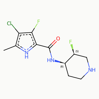 Cc1[nH]c(C(=O)N[C@@H]2CCNC[C@@H]2F)c(F)c1Cl